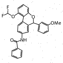 COc1cccc(C2Oc3cccc(OC(F)F)c3-c3ccc(NC(=O)c4ccccc4)cc32)c1